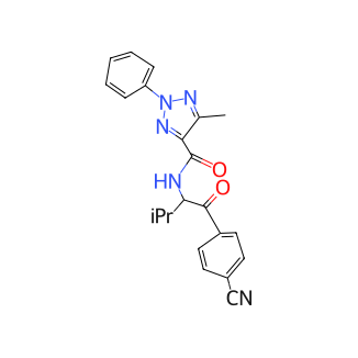 Cc1nn(-c2ccccc2)nc1C(=O)NC(C(=O)c1ccc(C#N)cc1)C(C)C